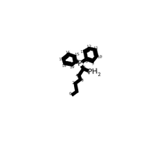 CCCCCC(P)P(c1ccccc1)c1ccccc1